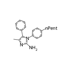 CCCCCc1ccc(-n2c(N)nc(C)c2-c2ccccc2)cc1